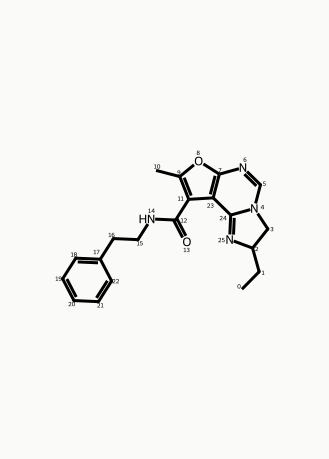 CCC1CN2C=Nc3oc(C)c(C(=O)NCCc4ccccc4)c3C2=N1